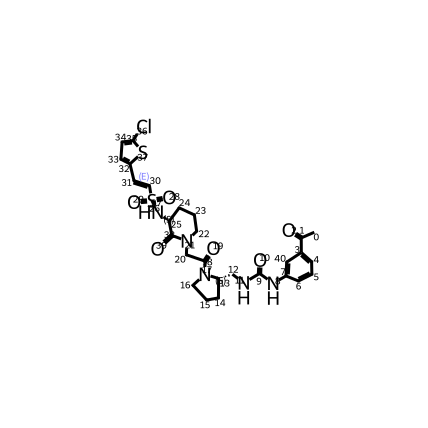 CC(=O)c1cccc(NC(=O)NC[C@@H]2CCCN2C(=O)CN2CCC[C@H](NS(=O)(=O)/C=C/c3ccc(Cl)s3)C2=O)c1